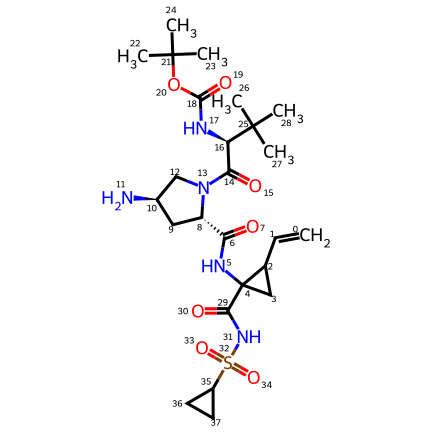 C=CC1CC1(NC(=O)[C@@H]1C[C@@H](N)CN1C(=O)[C@@H](NC(=O)OC(C)(C)C)C(C)(C)C)C(=O)NS(=O)(=O)C1CC1